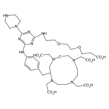 O=C(O)CCOCCOCCNc1nc(Nc2ccc(CC3CN(CC(=O)O)CCN(CC(=O)O)CCN(CC(=O)O)CCN3CC(=O)O)cc2)nc(N2CCNCC2)n1